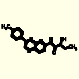 CCN(S)C(=O)Nc1ccc2ncc(-c3ccc(C)cc3)nc2n1